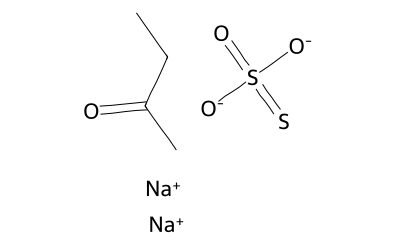 CCC(C)=O.O=S([O-])([O-])=S.[Na+].[Na+]